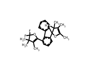 CC1=C(C)C(C)(C)C2(O1)c1ccccc1-c1c(C3=C(C)C(C)(C)C(F)(F)O3)cccc12